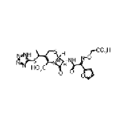 CC(Sc1nnn[nH]1)C1=C(C(=O)O)N2C(=O)[C@@H](NC(=O)C(=NOCC(=O)O)c3ccco3)[C@H]2SC1